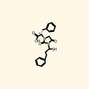 O=C(O)[C@H](Cc1ccccc1)N1CC(=O)N(C(S)CCc2ccccc2)C1=O